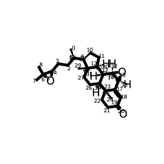 C[C@H](CCC1OC1(C)C)[C@H]1CC[C@H]2[C@@H]3[C@H]4O[C@H]4C4=CC(=O)CC[C@]4(C)[C@H]3CC[C@]12C